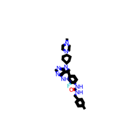 Cc1ccc(CNC(=O)Nc2ccc(-c3cn([C@H]4CC[C@@H](N5CCN(C)CC5)CC4)c4ncnc(N)c34)cc2F)cc1